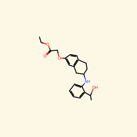 CCOC(=O)COc1ccc2c(c1)CC(Nc1ccccc1C(C)O)CC2